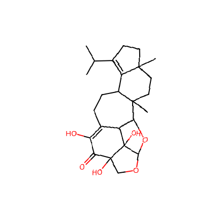 CC(C)C1=C2C3CCC4=C(O)C(=O)C5(O)COC6OC(C4C65O)C3(C)CCC2(C)CC1